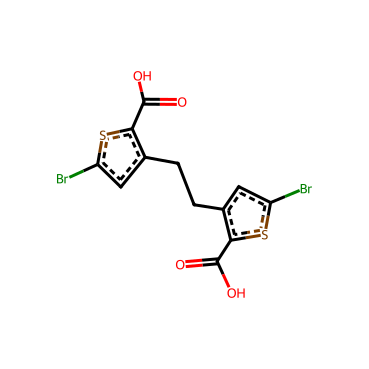 O=C(O)c1sc(Br)cc1CCc1cc(Br)sc1C(=O)O